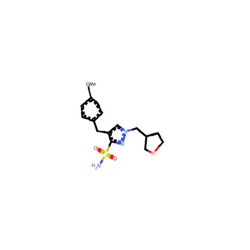 COc1ccc(Cc2cn(CC3CCOC3)nc2S(N)(=O)=O)cc1